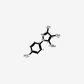 CCc1nn(-c2ccc(C)cc2)c(C(C)(C)C)c1O